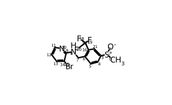 C[S+]([O-])c1ccc(CNc2ncccc2Br)c(C(F)(F)F)c1